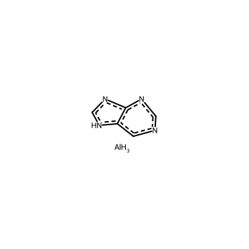 [AlH3].c1ncc2[nH]cnc2n1